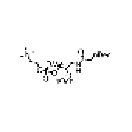 CCCCCCCCCCCC(=O)NCC(COP(=O)(OC)OCC[N+](C)(C)C)OCCCCCCCC